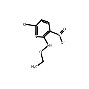 CCONc1nc(Cl)ccc1[N+](=O)[O-]